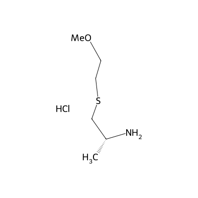 COCCSC[C@@H](C)N.Cl